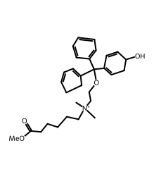 COC(=O)CCCCC[N+](C)(C)CCOC(C1=CCC(O)C=C1)(C1=CC=CCC1)c1ccccc1